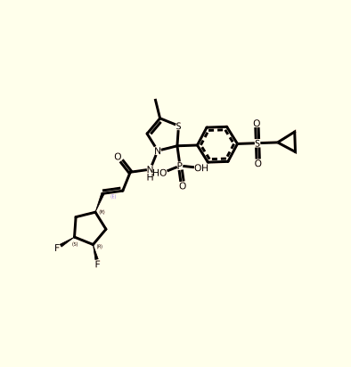 CC1=CN(NC(=O)/C=C/[C@H]2C[C@@H](F)[C@@H](F)C2)C(c2ccc(S(=O)(=O)C3CC3)cc2)(P(=O)(O)O)S1